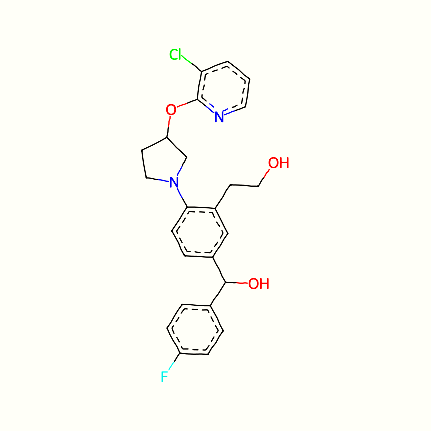 OCCc1cc(C(O)c2ccc(F)cc2)ccc1N1CCC(Oc2ncccc2Cl)C1